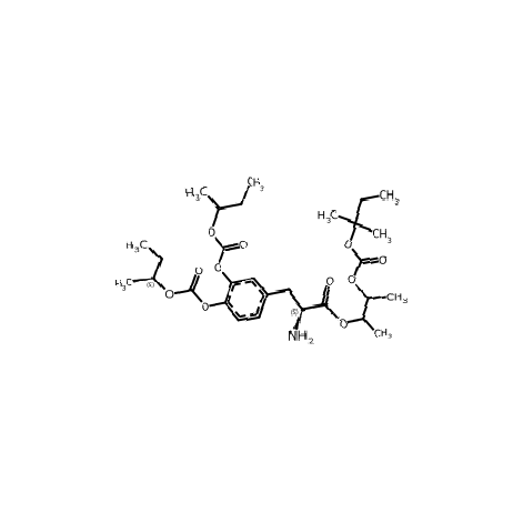 CCC(C)OC(=O)Oc1cc(C[C@H](N)C(=O)OC(C)C(C)OC(=O)OC(C)(C)CC)ccc1OC(=O)O[C@@H](C)CC